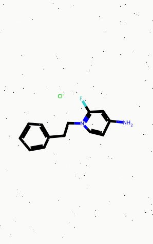 Nc1cc[n+](CCc2ccccc2)c(F)c1.[Cl-]